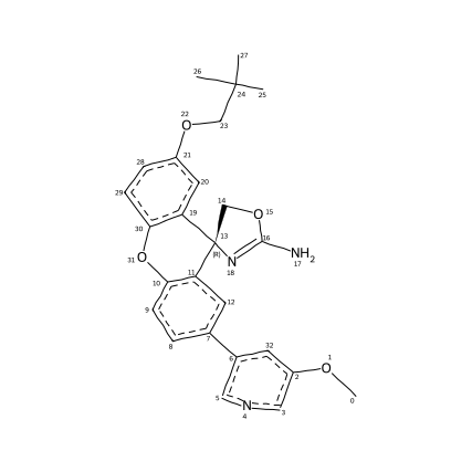 COc1cncc(-c2ccc3c(c2)[C@]2(COC(N)=N2)c2cc(OCC(C)(C)C)ccc2O3)c1